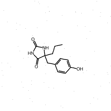 CCCC1(Cc2ccc(O)cc2)NC(=O)NC1=O